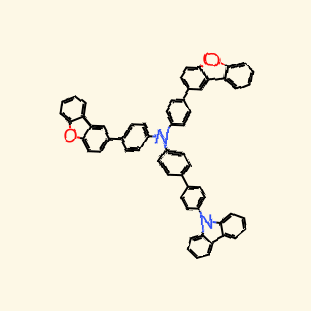 c1ccc2c(c1)oc1ccc(-c3ccc(N(c4ccc(-c5ccc(-n6c7ccccc7c7ccccc76)cc5)cc4)c4ccc(-c5ccc6oc7ccccc7c6c5)cc4)cc3)cc12